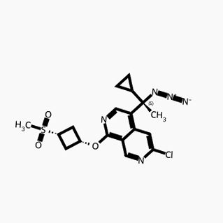 C[C@@](N=[N+]=[N-])(c1cnc(O[C@H]2C[C@@H](S(C)(=O)=O)C2)c2cnc(Cl)cc12)C1CC1